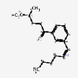 C[C@@H](CCC(=O)c1cccc(/C=C\CCCC#N)c1)C(=O)O